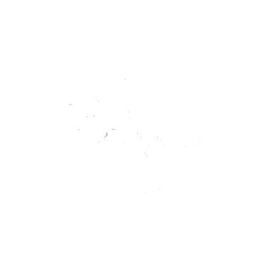 CC1=C(C2=C(\c3ccc4c(c3)-c3c(cccc3-c3ccc5c(c3)c3ccccc3n5-c3nc(-c5ccccc5)cc(-c5ccccc5)n3)C4)CC#CC/C=C\2C)C=CCC1